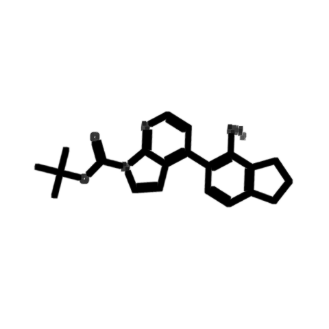 CC(C)(C)OC(=O)n1ccc2c(-c3ccc4c(c3N)CCC4)ccnc21